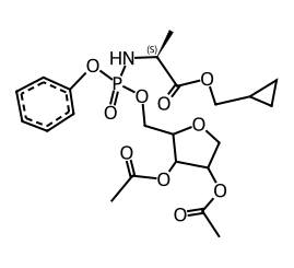 CC(=O)OC1COC(COP(=O)(N[C@@H](C)C(=O)OCC2CC2)Oc2ccccc2)C1OC(C)=O